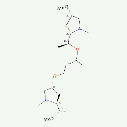 CO[C@H]1C[C@@H]([C@H](C)OC(C)CCO[C@@H]2C[C@@H]([C@H](C)OC)N(C)C2)N(C)C1